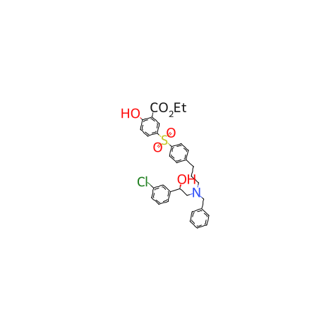 CCOC(=O)c1cc(S(=O)(=O)c2ccc(CCCN(Cc3ccccc3)C[C@H](O)c3cccc(Cl)c3)cc2)ccc1O